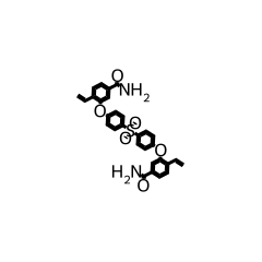 C=Cc1ccc(C(N)=O)cc1Oc1ccc(S(=O)(=O)c2ccc(Oc3cc(C(N)=O)ccc3C=C)cc2)cc1